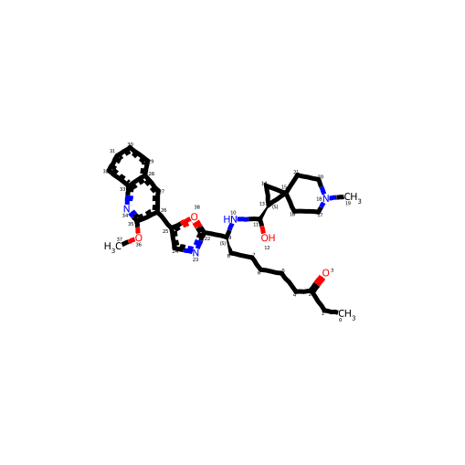 CCC(=O)CCCCC[C@H](NC(O)[C@H]1CC12CCN(C)CC2)c1ncc(-c2cc3ccccc3nc2OC)o1